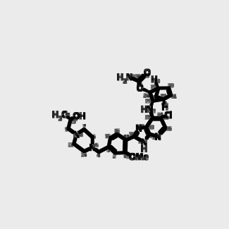 COc1cc(CN2CCN(C[C@@H](C)O)CC2)ccc1-c1nc2c(N[C@H]3[C@@H](OC(N)=O)[C@@H]4C=C[C@H]3C4)c(Cl)cnc2[nH]1